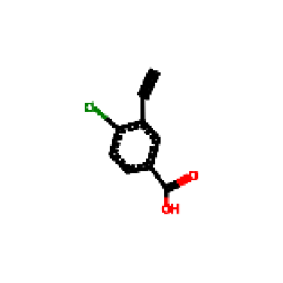 C#Cc1cc(C(=O)O)ccc1Cl